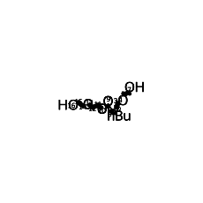 CCCCN(CCOCCO)C(=O)OCCOCCO